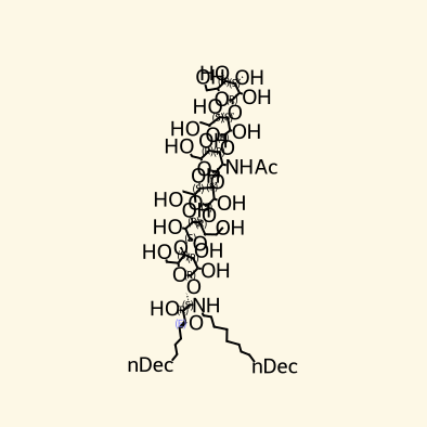 CCCCCCCCCCCCC/C=C/[C@@H](O)[C@H](CO[C@@H]1OC(CO)[C@@H](O[C@@H]2OC(CO)[C@H](O[C@@H]3OC(CO)[C@H](O)[C@H](O[C@@H]4OC(CO)[C@H](O)[C@H](O[C@@H]5OC(CO)[C@H](O)[C@H](O[C@H]6OC(CO)[C@H](O)[C@H](O)C6O)C5O)C4NC(C)=O)C3O)[C@H](O)C2O)[C@H](O)C1O)NC(=O)CCCCCCCCCCCCCCCCC